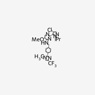 COc1cnc(-c2c(Cl)cnn2C(C)C)nc1NCc1ccc(-c2nc(C(F)(F)F)cn2C)cc1